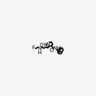 O=C(Cc1cc2c(C(=O)NCC34CC5CC(CC(C5)C3)C4)cccn2n1)NCCF